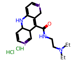 CCN(CC)CCNC(=O)C1=C2CI=CC=C2NC2C=CI=CC12.Cl.Cl